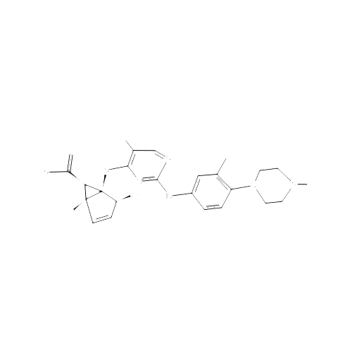 CC[C@H]1C=C[C@@H]2[C@@H](C(N)=O)[C@]12Nc1nc(Nc2ccc(N3CCN(C)CC3)c(C)c2)ncc1F